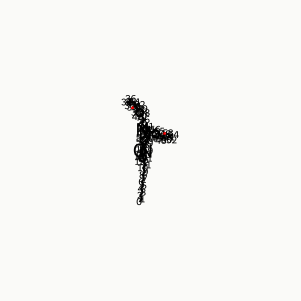 CCCCCCCCCCCCc1ccc2oc(-c3ccc(N4N=C(C=Cc5ccc(C(C)(C)CC(C)(C)C)cc5)CC4c4ccc(C(C)(C)CC(C)(C)C)cc4)cc3)nc2c1